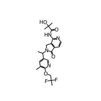 Cc1cc(C(C)N2Cc3c(ccnc3NC(=O)C(C)(C)O)C2=O)cnc1OCC(C)(F)F